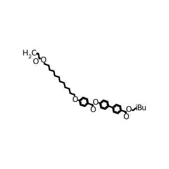 C=CC(=O)OCCCCCCCCCCCCOc1ccc(C(=O)Oc2ccc(-c3ccc(C(=O)OCC(C)CC)cc3)cc2)cc1